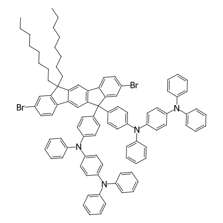 CCCCCCCCC1(CCCCCCCC)c2cc(Br)ccc2-c2cc3c(cc21)-c1ccc(Br)cc1C3(c1ccc(N(c2ccccc2)c2ccc(N(c3ccccc3)c3ccccc3)cc2)cc1)c1ccc(N(c2ccccc2)c2ccc(N(c3ccccc3)c3ccccc3)cc2)cc1